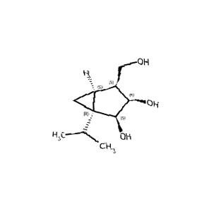 CC(C)[C@]12C[C@H]1[C@@H](CO)[C@@H](O)[C@H]2O